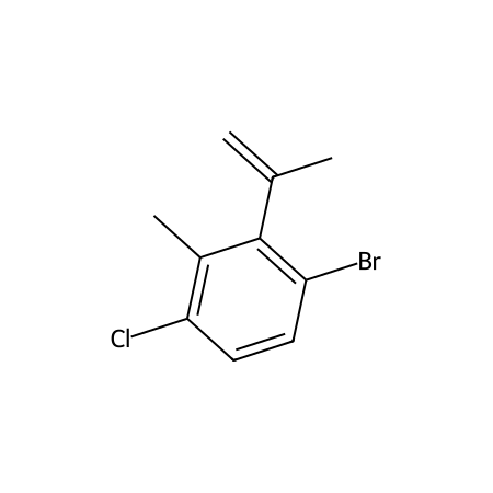 C=C(C)c1c(Br)ccc(Cl)c1C